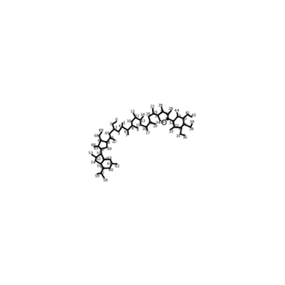 CCC(CC(C)C(C)C(C)CC(C)C(C)CC(C)C(C)CC(C)C(C)C(C)C(C)C(=O)C1C(C)C(CC)C(CC)C(CC)C1C)CC(C)C1CC(C2C(C)CC3C(C(C)C)CC(C)CC32)C(C)C1CC